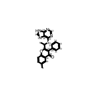 Cc1ccc2oc(C(C)Sc3ncnc4[nH]cnc34)c(-c3ccccc3)c(=O)c2c1